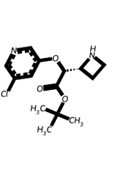 CC(C)(C)OC(=O)C(Oc1cncc(Cl)c1)[C@H]1CCN1